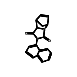 O=C1C2C3C=CC(C3)N2C(=O)N1c1cccc2ccccc12